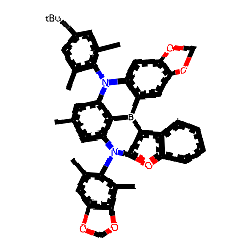 Cc1cc2c3c(c1)N(c1c(C)cc4c(c1C)OCO4)c1oc4ccccc4c1B3c1cc3c(cc1N2c1c(C)cc(C(C)(C)C)cc1C)OCO3